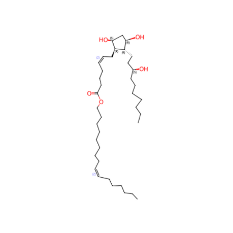 CCCCCC/C=C\CCCCCCCCOC(=O)CCC/C=C\C[C@@H]1[C@@H](CC[C@@H](O)CCCCCCC)[C@H](O)C[C@@H]1O